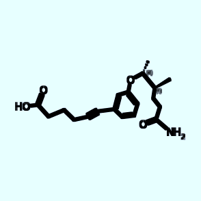 C[C@@H](CCC(N)=O)[C@@H](C)Oc1cccc(C#CCCCC(=O)O)c1